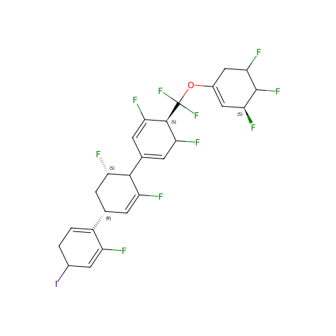 FC1=CC(I)CC=C1[C@H]1C=C(F)C(C2=CC(F)[C@H](C(F)(F)OC3=C[C@H](F)C(F)C(F)C3)C(F)=C2)[C@@H](F)C1